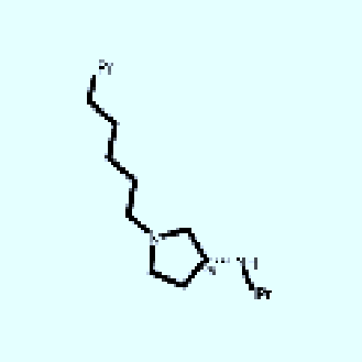 CC(C)CCCCCN1CC[C@@H](NC(C)C)C1